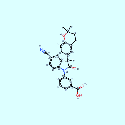 CC1(C)CCc2cc(C3(C)C(=O)N(c4cccc(C(=O)O)c4)c4ccc(C#N)cc43)ccc2O1